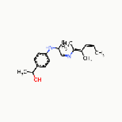 C\C=C/C(C)=C(C)/N=C\C(C)Nc1ccc(C(C)O)cc1